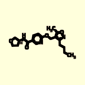 CCCCc1noc(C)c1COc1ccc(C(=O)N[C@H]2CCOC2)cn1